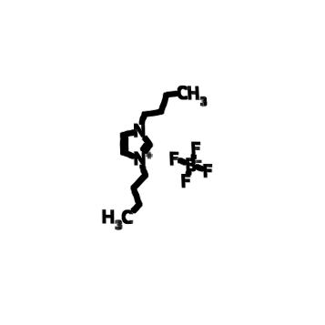 CCCCn1cc[n+](CCCC)c1.F[B-](F)(F)F